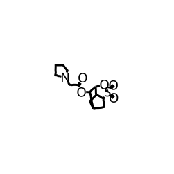 O=C(CN1CCCC1)OC1C2CC3C1OS(=O)(=O)C3C2